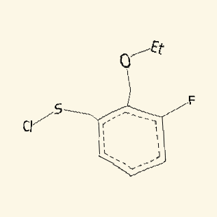 CCOc1c(F)cccc1SCl